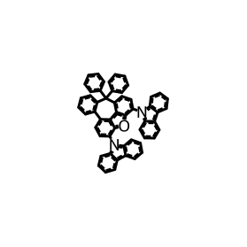 c1ccc(C2(c3ccccc3)c3ccccc3-c3ccc(-n4c5ccccc5c5ccccc54)c4oc5c(-n6c7ccccc7c7ccccc76)ccc2c5c34)cc1